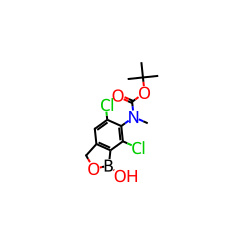 CN(C(=O)OC(C)(C)C)c1c(Cl)cc2c(c1Cl)B(O)OC2